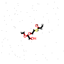 CCOC(CO)OCCSC(=O)CC